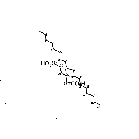 CCCCCCCCCCCCCCCCCC.O=C(O)CCCCC(=O)O